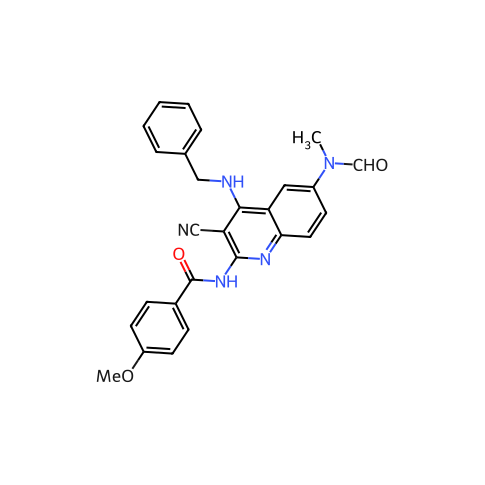 COc1ccc(C(=O)Nc2nc3ccc(N(C)C=O)cc3c(NCc3ccccc3)c2C#N)cc1